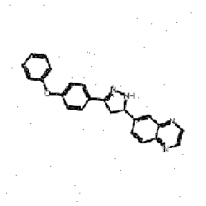 c1ccc(Oc2ccc(C3=NNC(c4ccc5nccnc5c4)C3)cc2)cc1